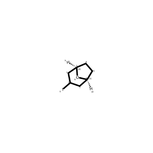 IC1C[C@H]2CC[C@@H](C1)O2